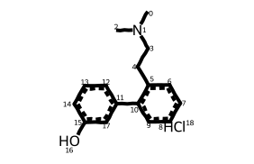 CN(C)CCc1ccccc1-c1cccc(O)c1.Cl